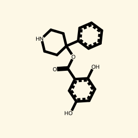 O=C(OC1(c2ccccc2)CCNCC1)c1cc(O)ccc1O